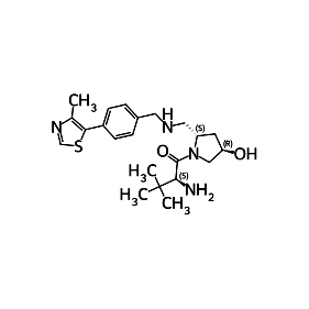 Cc1ncsc1-c1ccc(CNC[C@@H]2C[C@@H](O)CN2C(=O)[C@@H](N)C(C)(C)C)cc1